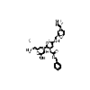 CCCCN(CC(=O)O)C(=O)C(CC(=O)NC[C@H]1CN(C=NN)CCO1)NC(=O)OCc1ccccc1.Cl